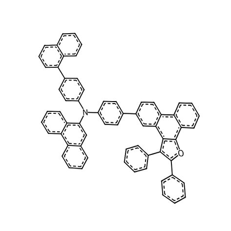 c1ccc(-c2oc3c4ccccc4c4ccc(-c5ccc(N(c6ccc(-c7cccc8ccccc78)cc6)c6cc7ccccc7c7ccccc67)cc5)cc4c3c2-c2ccccc2)cc1